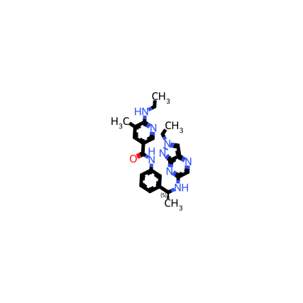 CCNc1ncc(C(=O)Nc2cccc([C@H](C)Nc3cnc4cn(CC)nc4n3)c2)cc1C